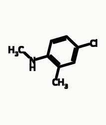 CNc1ccc(Cl)cc1C